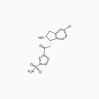 NS(=O)(=O)c1ccc(C(=O)C[C@H]2c3ccc(Cl)cc3C[C@H]2O)s1